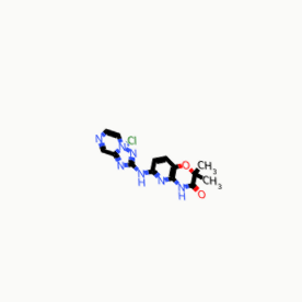 CC1(C)Oc2ccc(NC3=N[N+]4(Cl)C=CN=CC4=N3)nc2NC1=O